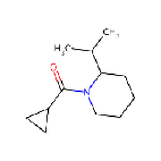 CC(C)C1CCCCN1C(=O)C1CC1